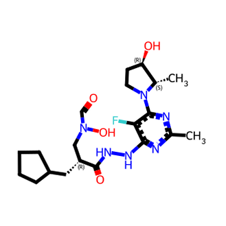 Cc1nc(NNC(=O)[C@H](CC2CCCC2)CN(O)C=O)c(F)c(N2CC[C@@H](O)[C@@H]2C)n1